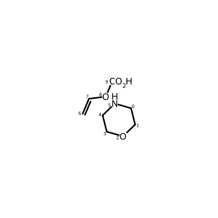 C1COCCN1.C=COC(=O)O